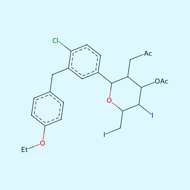 CCOc1ccc(Cc2cc(C3OC(CI)C(I)C(OC(C)=O)C3CC(C)=O)ccc2Cl)cc1